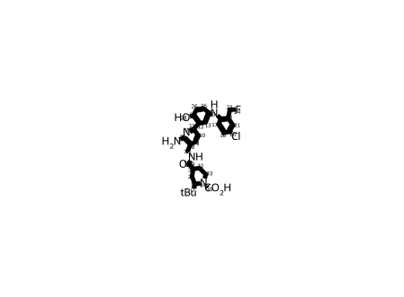 CC(C)(C)C1CC(C(=O)NCc2ccc(-c3cc(Nc4ccc(Cl)cc4CF)ccc3O)nc2N)CCN1C(=O)O